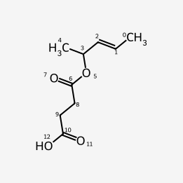 CC=CC(C)OC(=O)CCC(=O)O